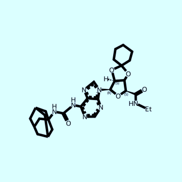 CCNC(=O)[C@H]1O[C@@H](n2cnc3c(NC(=O)NC45CC6CC(CC(C6)C4)C5)ncnc32)[C@H]2OC3(CCCCC3)OC12